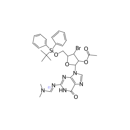 CC(=O)OC1C(Br)C(CO[Si](c2ccccc2)(c2ccccc2)C(C)(C)C)OC1n1cnc2c(=O)[nH]c(/N=C/N(C)C)nc21